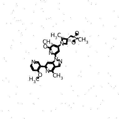 COc1cc(N2C[C@H](CS(C)(=O)=O)[C@H]2C)cc(-n2ncc3c(C)nc(-c4cnccc4OC)cc32)n1